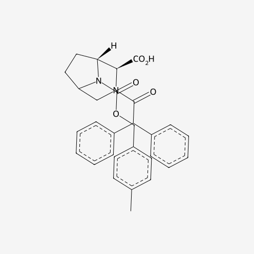 Cc1ccc(COC(=O)N2C3CC[C@@H]2[C@@H](C(=O)O)N(C(=O)C(c2ccccc2)c2ccccc2)C3)cc1